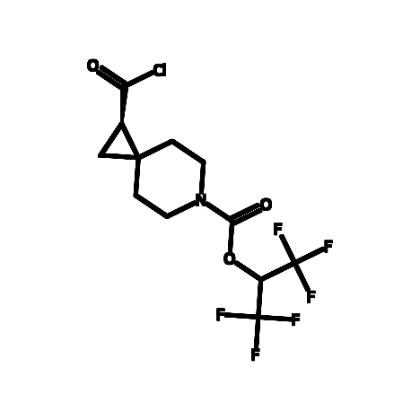 O=C(Cl)[C@@H]1CC12CCN(C(=O)OC(C(F)(F)F)C(F)(F)F)CC2